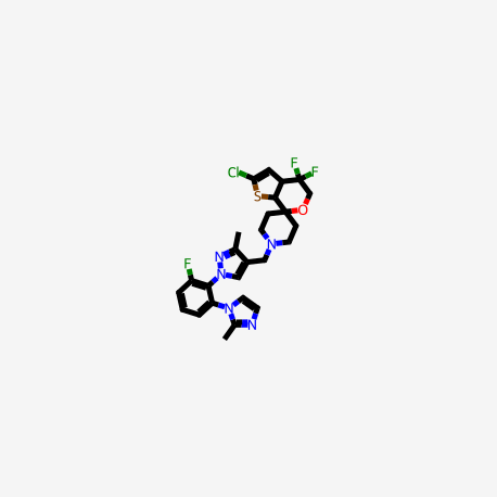 Cc1nn(-c2c(F)cccc2-n2ccnc2C)cc1CN1CCC2(CC1)OCC(F)(F)C1C=C(Cl)SC12